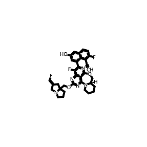 C#Cc1c(F)ccc2cc(O)cc(-c3nc4c5c(nc(OCC67CCCN6C/C(=C/F)C7)nc5c3F)N3CCCC[C@H]3CO4)c12